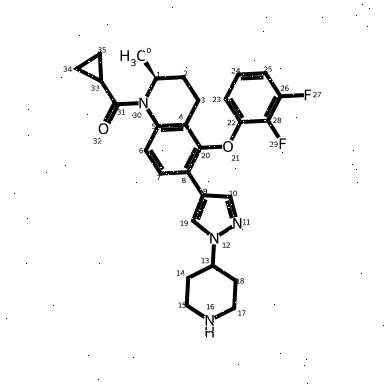 C[C@H]1CCc2c(ccc(-c3cnn(C4CCNCC4)c3)c2Oc2cccc(F)c2F)N1C(=O)C1CC1